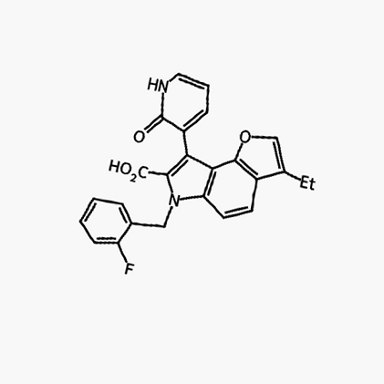 CCc1coc2c1ccc1c2c(-c2ccc[nH]c2=O)c(C(=O)O)n1Cc1ccccc1F